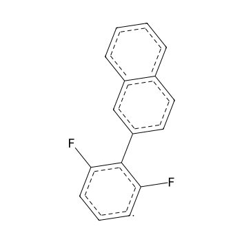 Fc1[c]ccc(F)c1-c1ccc2ccccc2c1